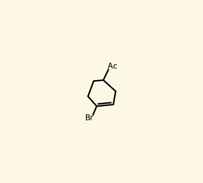 CC(=O)C1CC=C(Br)CC1